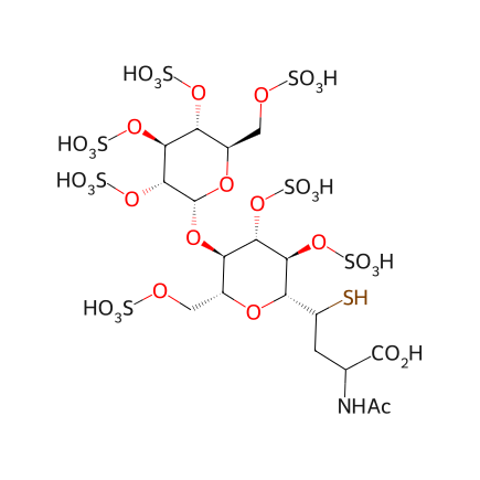 CC(=O)NC(CC(S)[C@@H]1O[C@H](COS(=O)(=O)O)[C@@H](O[C@H]2O[C@H](COS(=O)(=O)O)[C@@H](OS(=O)(=O)O)[C@H](OS(=O)(=O)O)[C@H]2OS(=O)(=O)O)[C@H](OS(=O)(=O)O)[C@H]1OS(=O)(=O)O)C(=O)O